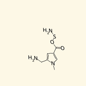 Cn1cc(C(=O)OSN)cc1CN